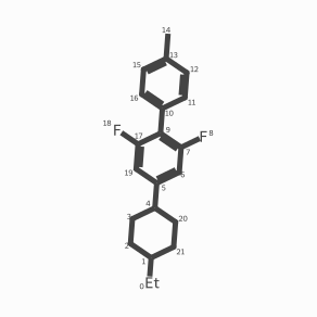 CCC1CCC(c2cc(F)c(-c3ccc(C)cc3)c(F)c2)CC1